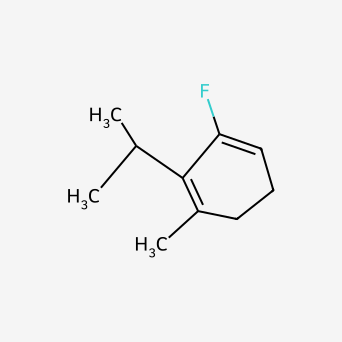 CC1=C(C(C)C)C(F)=CCC1